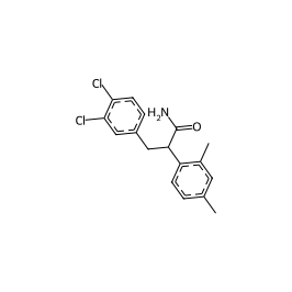 Cc1ccc(C(Cc2ccc(Cl)c(Cl)c2)C(N)=O)c(C)c1